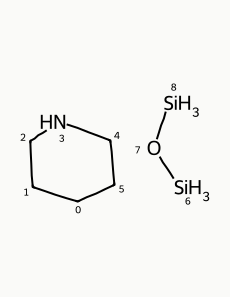 C1CCNCC1.[SiH3]O[SiH3]